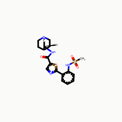 CS(=O)(=O)Nc1ccccc1-c1ncc(C(=O)N[C@H]2CN3CCC2CC3)s1